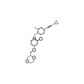 Cc1cc(C#CC2CC2)ccc1Cn1ccc(OC[C@@H]2COCCO2)cc1=O